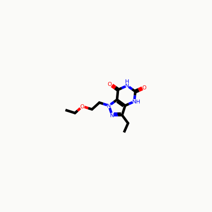 CCOCCn1nc(CC)c2[nH]c(=O)[nH]c(=O)c21